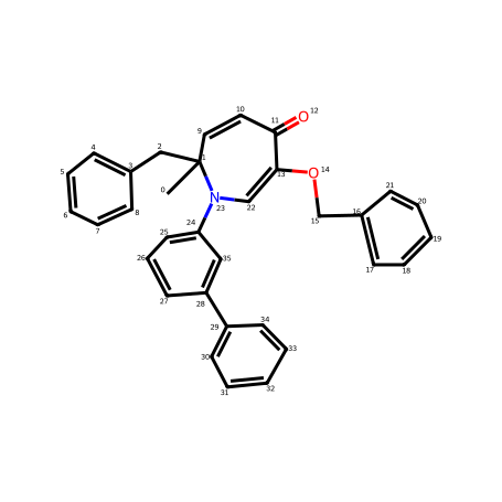 CC1(Cc2ccccc2)C=CC(=O)C(OCc2ccccc2)=CN1c1cccc(-c2ccccc2)c1